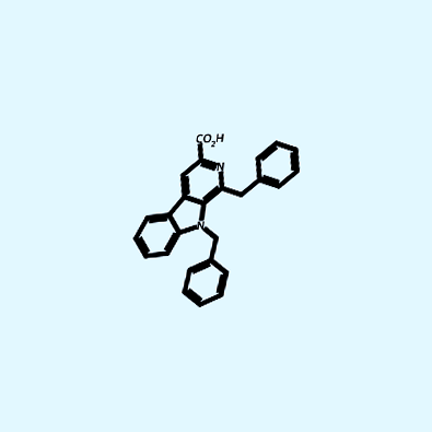 O=C(O)c1cc2c3ccccc3n(Cc3ccccc3)c2c(Cc2ccccc2)n1